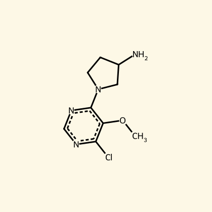 COc1c(Cl)ncnc1N1CCC(N)C1